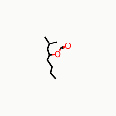 CCCCC(CC(C)C)OC=O